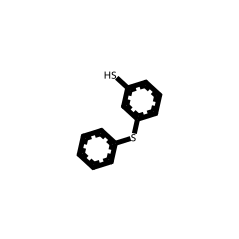 Sc1cccc(Sc2ccccc2)c1